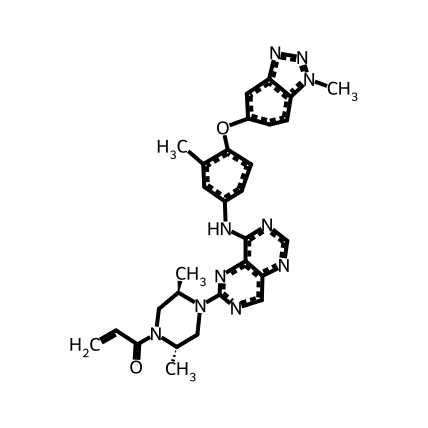 C=CC(=O)N1C[C@@H](C)N(c2ncc3ncnc(Nc4ccc(Oc5ccc6c(c5)nnn6C)c(C)c4)c3n2)C[C@@H]1C